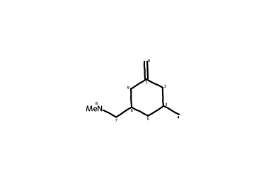 C=C1CC(C)CC(CNC)C1